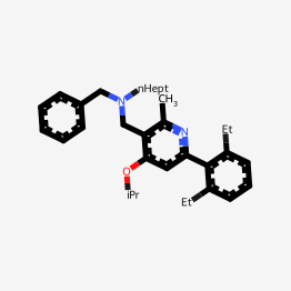 CCCCCCCN(Cc1ccccc1)Cc1c(OC(C)C)cc(-c2c(CC)cccc2CC)nc1C